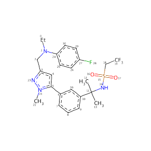 CCN(Cc1cc(-c2cccc(C(C)(C)NS(=O)(=O)CC(F)(F)F)c2)n(C)n1)c1ccc(F)cc1